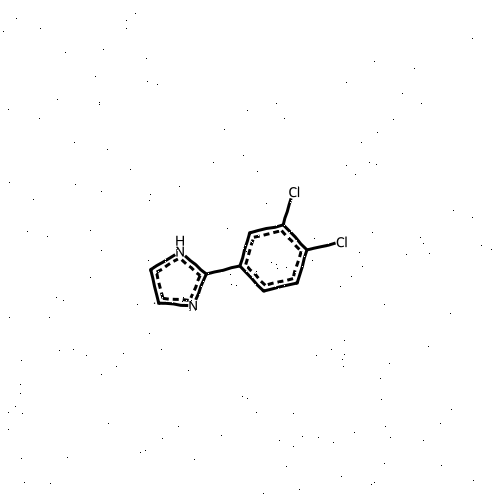 Clc1ccc(-c2n[c]c[nH]2)cc1Cl